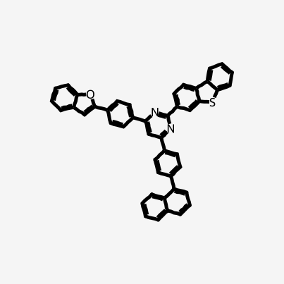 c1ccc2oc(-c3ccc(-c4cc(-c5ccc(-c6cccc7ccccc67)cc5)nc(-c5ccc6c(c5)sc5ccccc56)n4)cc3)cc2c1